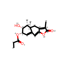 CCC(=O)O[C@H]1C=C2C=C3OC(=O)C(C)=C3C[C@]2(C)[C@@H](C)[C@H]1O